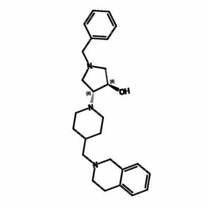 O[C@@H]1CN(Cc2ccccc2)C[C@H]1N1CCC(CN2CCc3ccccc3C2)CC1